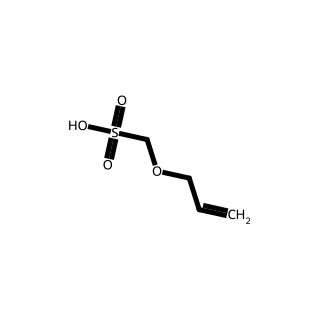 C=CCOCS(=O)(=O)O